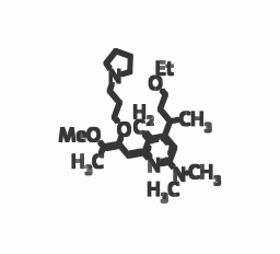 C=c1c(C(C)CCOCC)cc(N(C)C)n/c1=C/C(OCCCN1CCCC1)=C(\C)OC